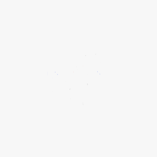 NS(=O)(=O)c1ccsc1C1=NOCCO1